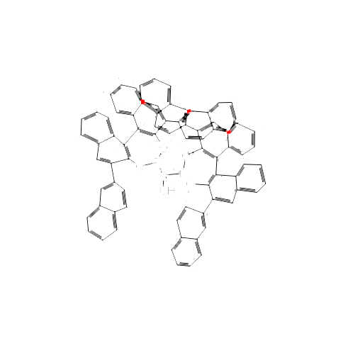 CN(p1oc2c(-c3ccc4ccccc4c3)cc3ccccc3c2c2c(o1)c(-c1ccc3ccccc3c1)cc1ccccc12)p1oc2c(-c3ccc4ccccc4c3)cc3ccccc3c2c2c(o1)c(-c1ccc3ccccc3c1)cc1ccccc12